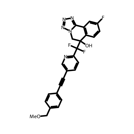 COCc1ccc(C#Cc2ccc(C(F)(F)C3(O)Cn4nnnc4-c4cc(F)ccc43)nc2)cc1